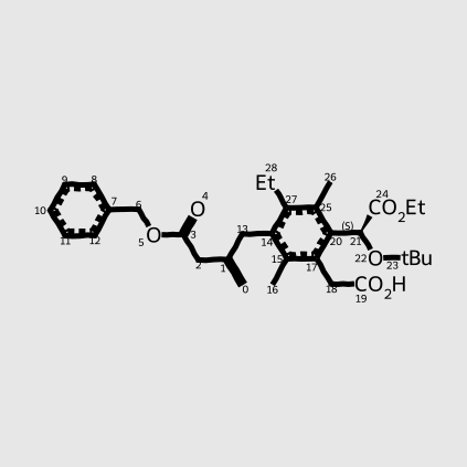 C=C(CC(=O)OCc1ccccc1)Cc1c(C)c(CC(=O)O)c([C@H](OC(C)(C)C)C(=O)OCC)c(C)c1CC